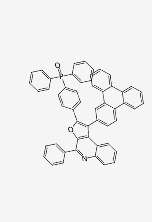 O=P(c1ccccc1)(c1ccccc1)c1ccc(-c2oc3c(-c4ccccc4)nc4ccccc4c3c2-c2ccc3c4ccccc4c4ccccc4c3c2)cc1